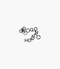 CN(C(=O)COc1ccc2c(c1)CCCN2S(C)(=O)=O)[C@H](CN1CC[C@H](O)C1)c1ccccc1